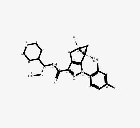 O=C(N[C@H](CO)C1CCOCC1)c1nn(-c2ccc(F)cc2F)c2c1C[C@H]1C[C@@H]21